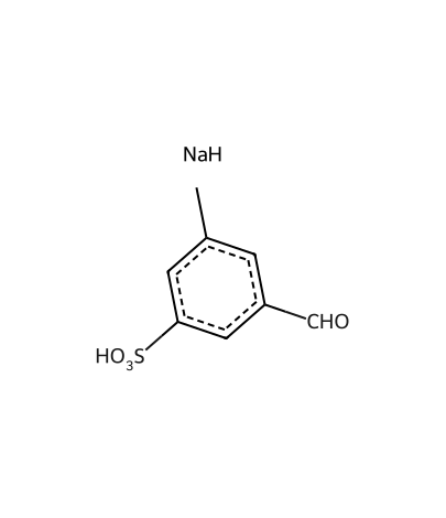 Cc1cc(C=O)cc(S(=O)(=O)O)c1.[NaH]